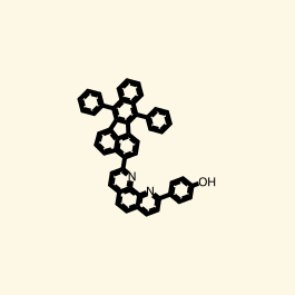 Oc1ccc(-c2ccc3ccc4ccc(-c5ccc6c7c(cccc57)-c5c-6c(-c6ccccc6)c6ccccc6c5-c5ccccc5)nc4c3n2)cc1